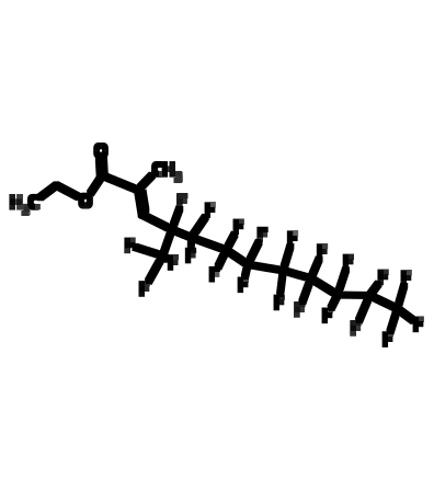 CCOC(=O)C(C)=CC(F)(C(F)(F)F)C(F)(F)C(F)(F)C(F)(F)C(F)(F)C(F)(F)C(F)(F)C(F)(F)C(F)(F)F